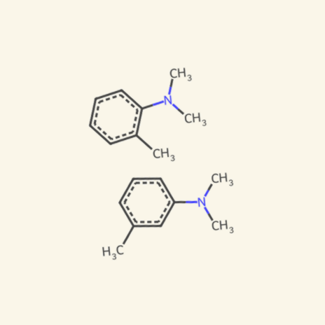 Cc1cccc(N(C)C)c1.Cc1ccccc1N(C)C